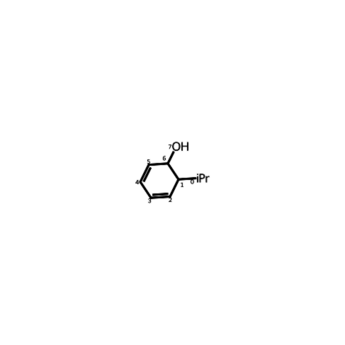 CC(C)C1C=CC=CC1O